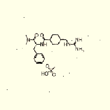 CN(C)C(=O)[C@H](Cc1ccccc1)NC(=O)C1CCC(CNC(=N)N)CC1.CS(=O)(=O)O